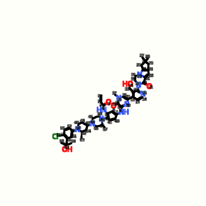 C=CC(=O)Nc1cc(Nc2nc(-c3ccnc(N4CCn5c(cc6c5CC(C)(C)C6)C4=O)c3CO)cn(C)c2=O)ccc1N1CCN(C2CCN(c3ccc(Cl)c(C(C)(C)O)c3)[C@H](C)C2)C[C@@H]1C